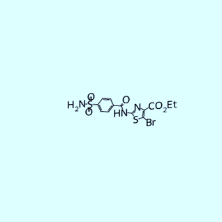 CCOC(=O)c1nc(NC(=O)c2ccc(S(N)(=O)=O)cc2)sc1Br